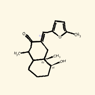 Cc1ccc(/C=C2\C[C@@]3(C)C(CCC[C@@H]3O)C(C)C2=O)o1